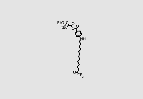 CCOC(=O)C(C(=O)OC(=O)c1ccc(NCCCCCCCCCCCCC(=O)C(F)(F)F)cc1)C(C)(C)C